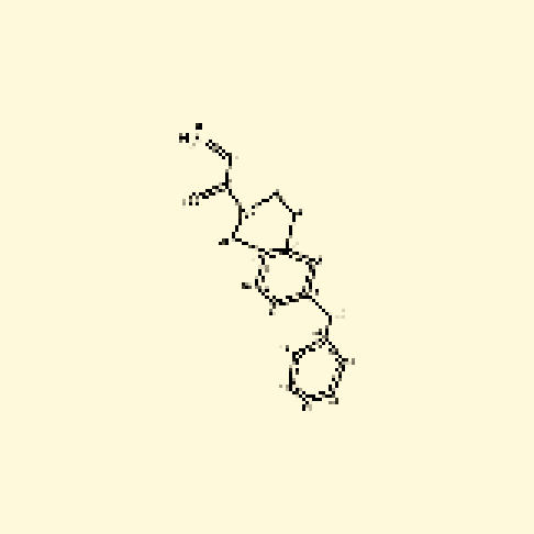 C=CC(=O)N1CCc2cc(Cc3ccccc3)ccc2C1